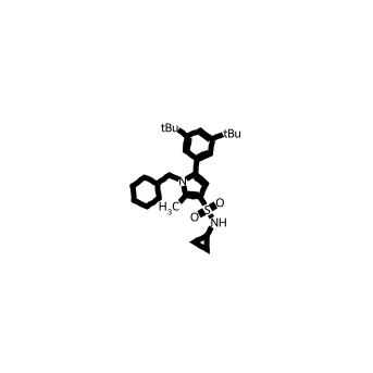 Cc1c(S(=O)(=O)NC2CC2)cc(-c2cc(C(C)(C)C)cc(C(C)(C)C)c2)n1CC1CCCCC1